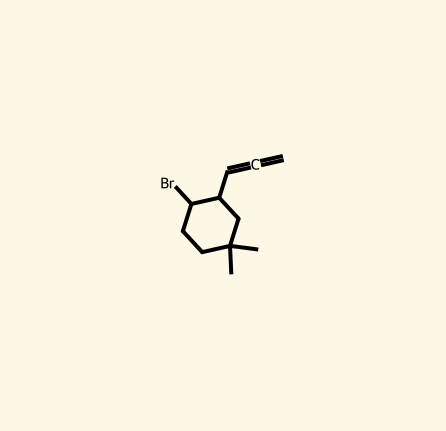 C=C=CC1CC(C)(C)CCC1Br